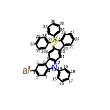 Brc1ccc2c(c1)c1cc3c(cc1n2-c1ccccc1)-c1ccccc1S3(c1ccccc1)c1ccccc1